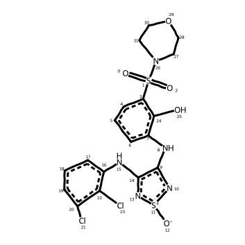 O=S(=O)(c1cccc(Nc2n[s+]([O-])nc2Nc2cccc(Cl)c2Cl)c1O)N1CCOCC1